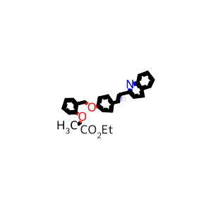 CCOC(=O)C(C)Oc1ccccc1COc1ccc(/C=C/c2ccc3ccccc3n2)cc1